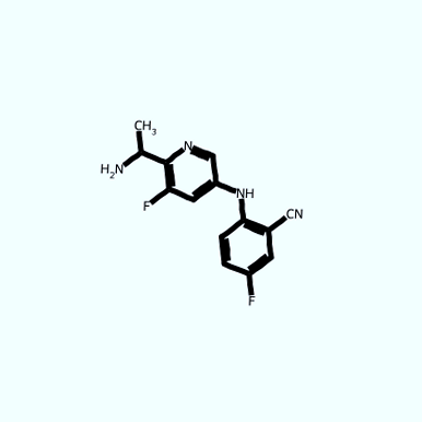 CC(N)c1ncc(Nc2ccc(F)cc2C#N)cc1F